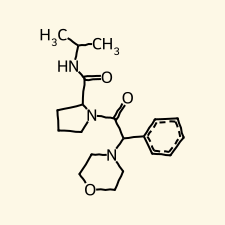 CC(C)NC(=O)C1CCCN1C(=O)C(c1ccccc1)N1CCOCC1